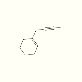 CC#CCC1=CCC[CH]C1